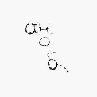 CCN(C(=O)c1nc2ncccc2[nH]1)[C@H]1CCC[C@@H](NCc2cccc(N=[N+]=[N-])c2)C1